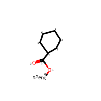 CCCCCOC(=O)C1CCCCC1